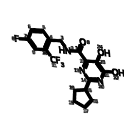 O=C(NCc1ccc(F)cc1C(F)(F)F)c1nc(C2CCCC2)nc(O)c1O